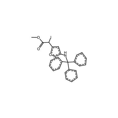 COC(=O)C(I)c1cc(NC(c2ccccc2)(c2ccccc2)c2ccccc2)no1